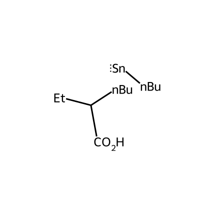 CCCCC(CC)C(=O)O.CCC[CH2][Sn]